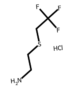 Cl.NCCSCC(F)(F)F